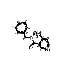 O=C(c1cnccc1C(F)(F)F)N(O)Cc1ccccc1